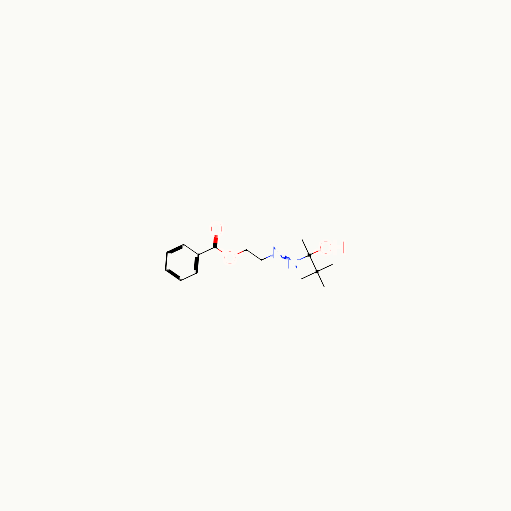 CC(C)(C)C(C)(O)N=NCCOC(=O)c1ccccc1